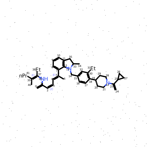 C=C(/C=C\C=C(/C)c1cccc2c1N(Cc1ccc(C3CCN(C(=C)C4CC4)CC3)c(CC)c1)C(C)C2)N/C(CC)=C(\C)CCC